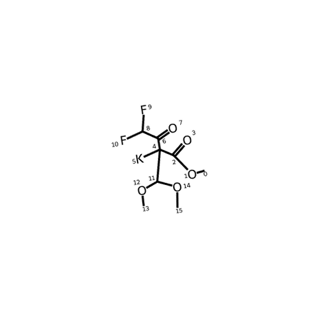 COC(=O)[C]([K])(C(=O)C(F)F)C(OC)OC